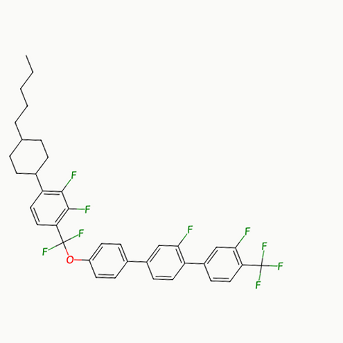 CCCCCC1CCC(c2ccc(C(F)(F)Oc3ccc(-c4ccc(-c5ccc(C(F)(F)F)c(F)c5)c(F)c4)cc3)c(F)c2F)CC1